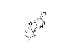 Clc1cc2oc3ccccc3c2nn1